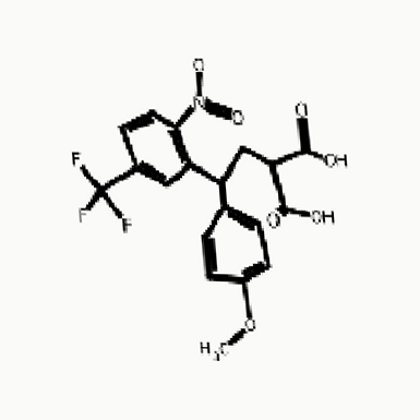 COc1ccc(C(CC(C(=O)O)C(=O)O)c2cc(C(F)(F)F)ccc2[N+](=O)[O-])cc1